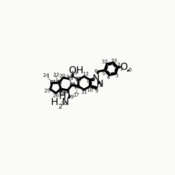 COc1ccc(Cn2ncc3c2C[C@H](CO)[C@](C)([C@H]2CC[C@]4(C)[C@@H](C)CC[C@H]4[C@@H]2CN)C3)cc1